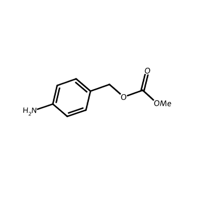 COC(=O)OCc1ccc(N)cc1